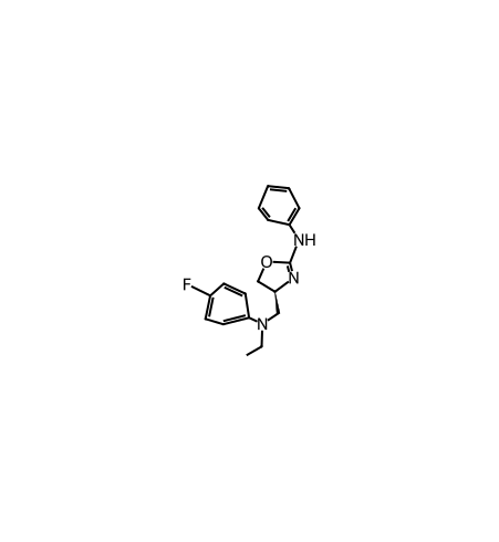 CCN(C[C@H]1COC(Nc2ccccc2)=N1)c1ccc(F)cc1